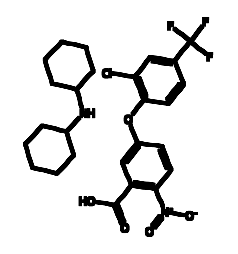 C1CCC(NC2CCCCC2)CC1.O=C(O)c1cc(Oc2ccc(C(F)(F)F)cc2Cl)ccc1[N+](=O)[O-]